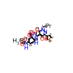 CC(C)Cn1nc(-c2ccsc2)c(O)c(C2=NP(=O)(O)c3cc(NS(C)(=O)=O)ccc3N2)c1=O